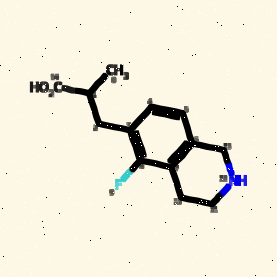 CC(Cc1ccc2c(c1F)CCNC2)C(=O)O